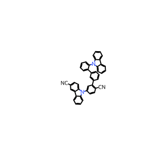 N#Cc1ccc2c(c1)c1ccccc1n2-c1ccc(C#N)c(-c2cccc(-c3ccccc3-n3c4ccccc4c4ccccc43)c2)c1